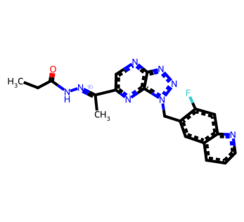 CCC(=O)N/N=C(\C)c1cnc2nnn(Cc3cc4cccnc4cc3F)c2n1